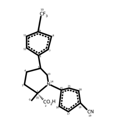 C[C@@]1(C(=O)O)CCC(c2ccc(C(F)(F)F)cc2)CN1c1ccc(C#N)cc1